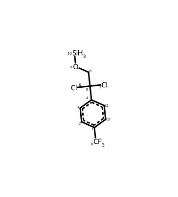 FC(F)(F)c1ccc(C(Cl)(Cl)CO[SiH3])cc1